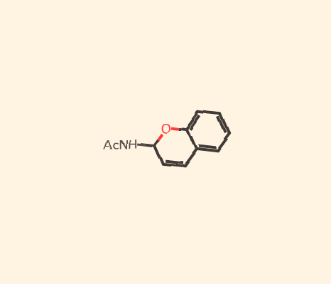 CC(=O)NC1C=Cc2ccccc2O1